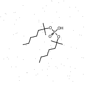 CCCCCC(C)(C)OP(=O)(O)OC(C)(C)CCCCC